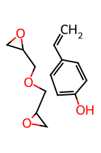 C(OCC1CO1)C1CO1.C=Cc1ccc(O)cc1